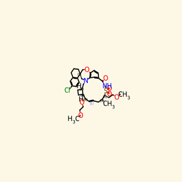 COCCO[C@H]1/C=C/C[C@H](C)[C@H](CCOC)S(=O)(=O)NC(=O)c2ccc3c(c2)N(C[C@@H]2CC[C@H]21)C[C@@]1(CCCc2cc(Cl)ccc21)CO3